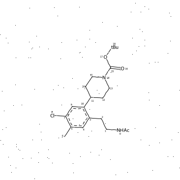 CC(=O)NCCc1cc(C)c(Cl)cc1C1CCN(C(=O)OC(C)(C)C)CC1